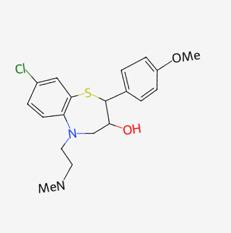 CNCCN1CC(O)C(c2ccc(OC)cc2)Sc2cc(Cl)ccc21